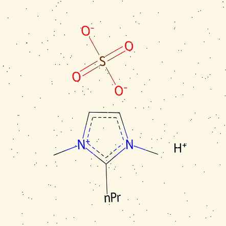 CCCc1n(C)cc[n+]1C.O=S(=O)([O-])[O-].[H+]